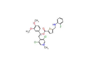 COc1ccc([C@H](Cc2c(Cl)c[n+](C)cc2Cl)OC(=O)c2ccc(CNc3ccccc3F)s2)cc1OC